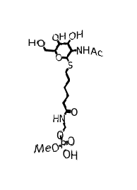 COP(=O)(O)OCNC(=O)CCCCCSC1OC(CO)C(O)C(O)C1NC(C)=O